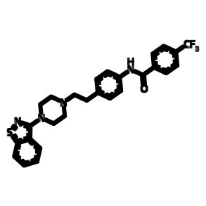 O=C(Nc1ccc(CCN2CCN(c3nsc4ccccc34)CC2)cc1)c1ccc(C(F)(F)F)cc1